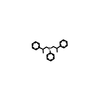 CC(CP(CC(C)c1ccccc1)c1ccccc1)c1ccccc1